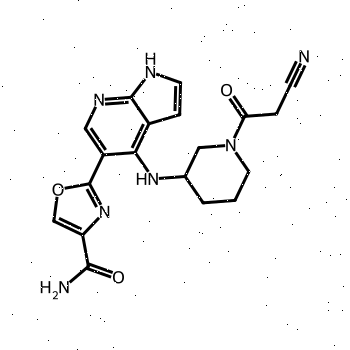 N#CCC(=O)N1CCCC(Nc2c(-c3nc(C(N)=O)co3)cnc3[nH]ccc23)C1